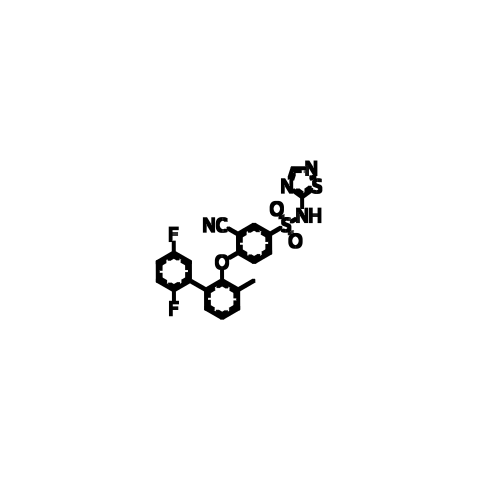 Cc1cccc(-c2cc(F)ccc2F)c1Oc1ccc(S(=O)(=O)Nc2ncns2)cc1C#N